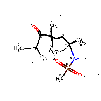 CC(C)C(=O)C(C)(C)CC(C)(C)NS(C)(=O)=O